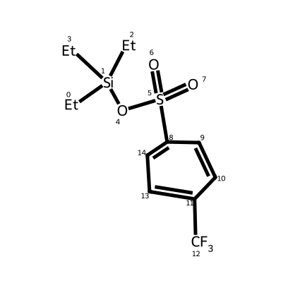 CC[Si](CC)(CC)OS(=O)(=O)c1ccc(C(F)(F)F)cc1